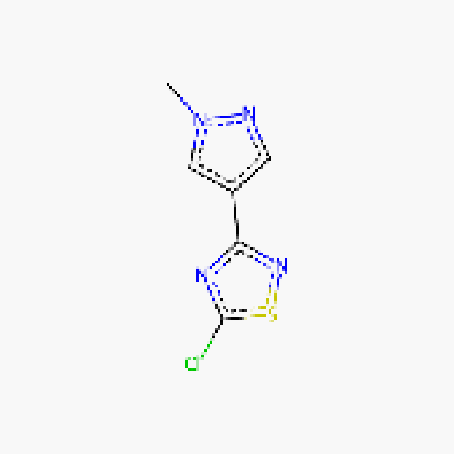 Cn1cc(-c2nsc(Cl)n2)cn1